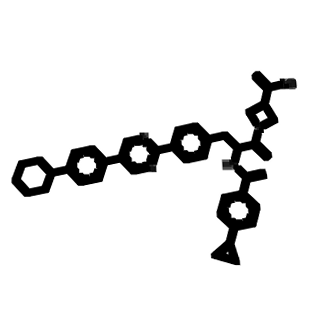 C=C(NC(Cc1ccc(-c2ncc(-c3ccc(C4CCCCC4)cc3)cn2)cc1)C(=C)N1CC(C(=C)N=O)C1)c1ccc(C2CC2)cc1